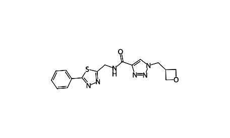 O=C(NCc1nnc(-c2ccccc2)s1)c1cn(CC2COC2)nn1